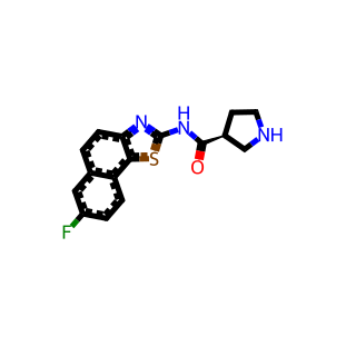 O=C(Nc1nc2ccc3cc(F)ccc3c2s1)[C@H]1CCNC1